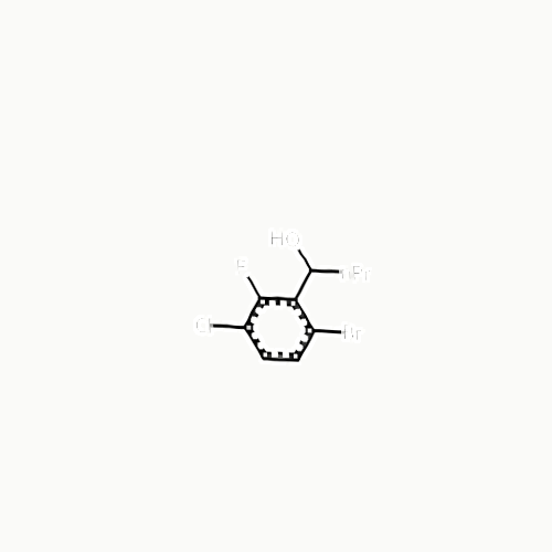 CCCC(O)c1c(Br)ccc(Cl)c1F